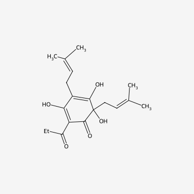 CCC(=O)C1=C(O)C(CC=C(C)C)=C(O)C(O)(CC=C(C)C)C1=O